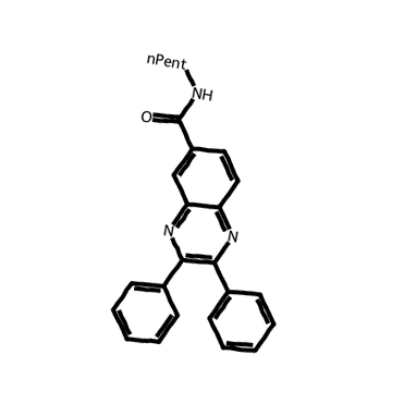 CCCCCNC(=O)c1ccc2nc(-c3ccccc3)c(-c3ccccc3)nc2c1